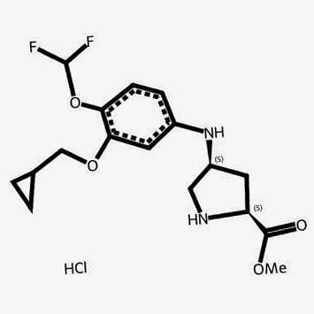 COC(=O)[C@@H]1C[C@H](Nc2ccc(OC(F)F)c(OCC3CC3)c2)CN1.Cl